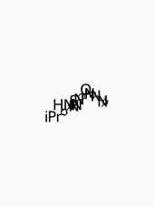 Cc1ccc(C)n1CCN1CCN(C(=O)C2CCN(C3=NN4C=C(c5ccc(C(C)C)cc5)NC4S3)CC2)CC1